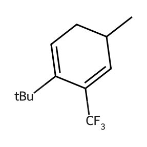 CC1C=C(C(F)(F)F)C(C(C)(C)C)=CC1